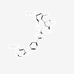 COc1cc(F)c(C2CNC(=O)[C@@H]2Nc2nnc(-c3ccc(Oc4cc(OC)ncn4)cc3)o2)c(F)c1